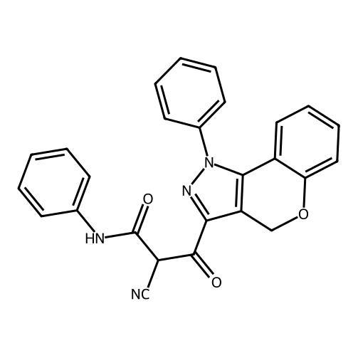 N#CC(C(=O)Nc1ccccc1)C(=O)c1nn(-c2ccccc2)c2c1COc1ccccc1-2